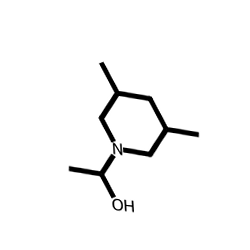 CC1CC(C)CN(C(C)O)C1